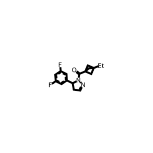 CCC12CC(C(=O)N3N=CCC3c3cc(F)cc(F)c3)(C1)C2